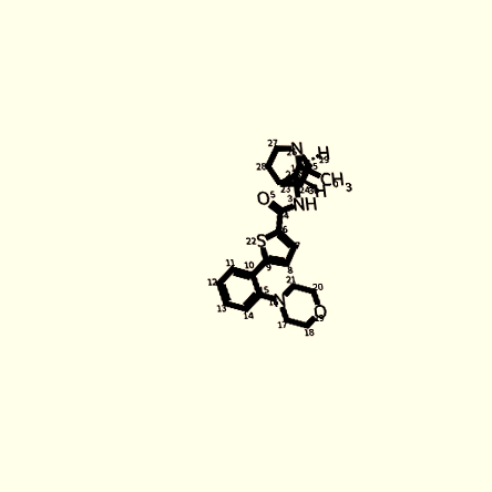 C[C@H]1[C@H](NC(=O)c2ccc(-c3ccccc3N3CCOCC3)s2)C2CCN1CC2